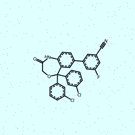 N#Cc1cc(F)cc(-c2ccc3c(c2)C(c2cccc(Cl)c2)(c2cccc(Cl)c2)OCC(=O)N3)c1